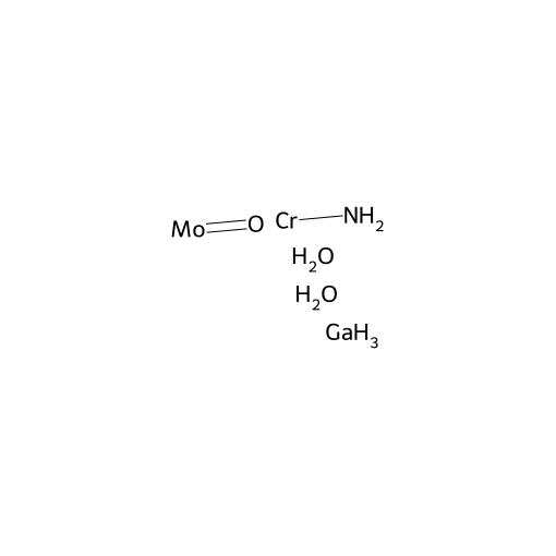 O.O.[GaH3].[NH2][Cr].[O]=[Mo]